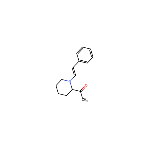 CC(=O)C1CCCCN1C=Cc1ccccc1